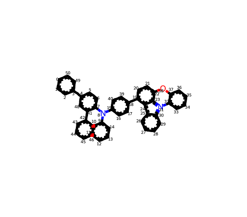 c1ccc(-c2ccc(N(c3ccccc3)c3ccc(-c4ccc5c6c4c4ccccc4n6-c4ccccc4O5)cc3)c(-c3ccccc3)c2)cc1